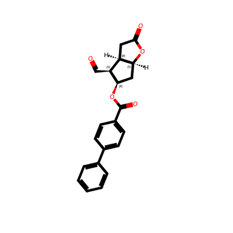 O=C[C@H]1[C@H]2CC(=O)O[C@H]2C[C@H]1OC(=O)c1ccc(-c2ccccc2)cc1